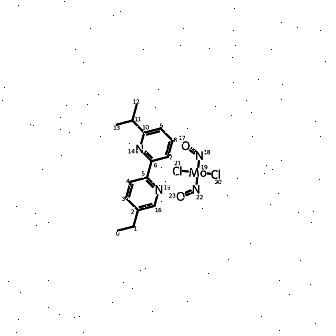 CCc1ccc(-c2cccc(C(C)C)n2)nc1.O=[N][Mo]([Cl])([Cl])[N]=O